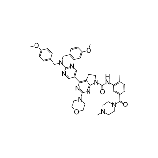 COc1ccc(CN(Cc2ccc(OC)cc2)c2ncc(-c3nc(N4CCOCC4)nc4c3CCN4C(=O)Nc3cc(C(=O)N4CCN(C)CC4)ccc3C)cn2)cc1